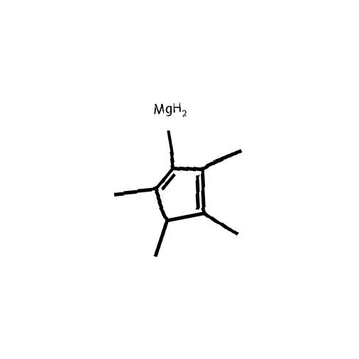 CC1=C(C)C(C)C(C)=C1C.[MgH2]